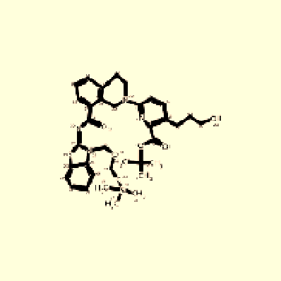 CC(C)(C)OC(=O)c1nc(N2CCc3cccc(C(=O)N=c4sc5ccccc5n4COCC[Si](C)(C)C)c3C2)ccc1CCCO